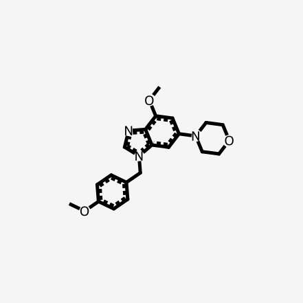 COc1ccc(Cn2cnc3c(OC)cc(N4CCOCC4)cc32)cc1